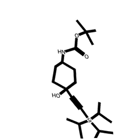 CC(C)[Si](C#CC1(O)CCC(NC(=O)OC(C)(C)C)CC1)(C(C)C)C(C)C